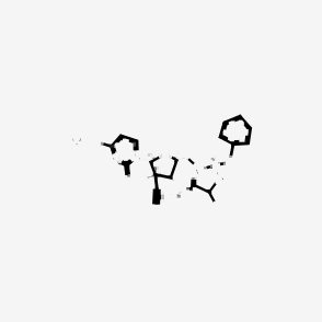 C#C[C@@]1(O)[C@H](O)[C@@H](COP(=O)(NC(C)C(=O)OC(C)C)Oc2ccccc2)O[C@H]1n1ccc(OC)nc1=O